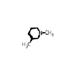 CC1=CCCN(C)C1